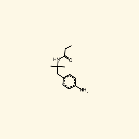 CCC(=O)NC(C)(C)Cc1ccc(N)cc1